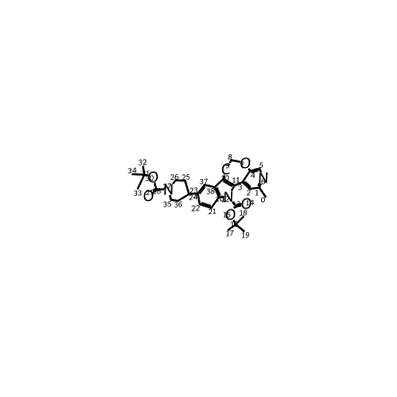 Cc1cc2c(cn1)OCCc1c-2n(C(=O)OC(C)(C)C)c2ccc(C3CCN(C(=O)OC(C)(C)C)CC3)cc12